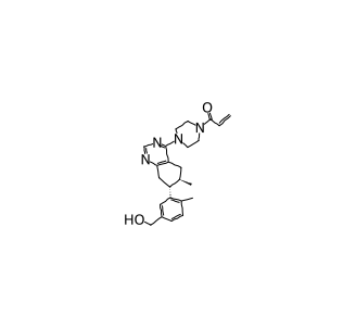 C=CC(=O)N1CCN(c2ncnc3c2C[C@@H](C)[C@H](c2cc(CO)ccc2C)C3)CC1